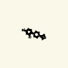 Clc1cc(Br)ccc1N1CCN(C2COC2)CC1